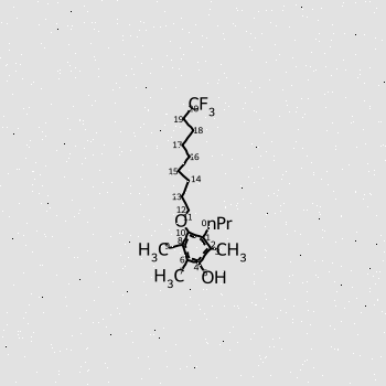 CCCc1c(C)c(O)c(C)c(C)c1OCCCCCCCCC(F)(F)F